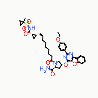 CCOc1ccc(-c2nc(O[C@@H]3C[C@@H](C(N)=O)N(C(=O)CCCCCC/C=C\[C@@H]4C[C@@H]4C(=O)NS(=O)(=O)C4(C)CC4)C3)c3oc4ccccc4c3n2)cc1